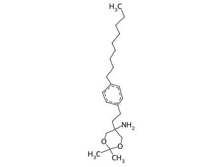 CCCCCCCCCc1ccc(CCC2(N)COC(C)(C)OC2)cc1